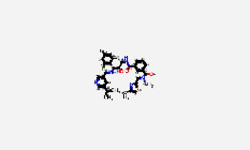 Cc1csc(CN(C)C(=O)c2cccc(C(=O)N[C@@H](Cc3cc(F)cc(F)c3)[C@H](O)CNCc3cncc(C(C)C)c3)c2)n1